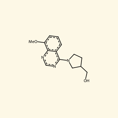 COc1cccc2c(N3CCC(CO)C3)ncnc12